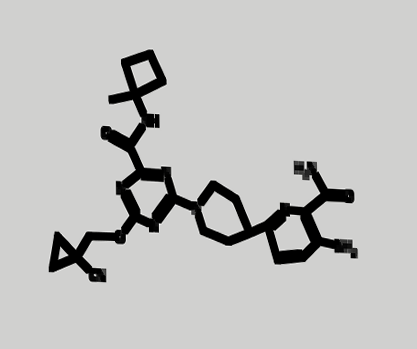 CC1(NC(=O)c2nc(OCC3(C#N)CC3)nc(N3CCC(c4ccc(N)c(C(N)=O)n4)CC3)n2)CCC1